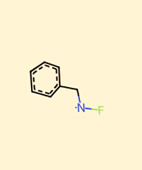 F[N]Cc1ccccc1